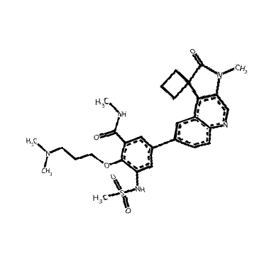 CNC(=O)c1cc(-c2ccc3ncc4c(c3c2)C2(CCC2)C(=O)N4C)cc(NS(C)(=O)=O)c1OCCCN(C)C